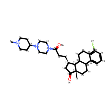 CN1CCC(N2CCN(C(=O)CC[C@@H]3CC(=O)[C@@]4(C)CCC5c6cccc(F)c6CCC5C34)CC2)CC1